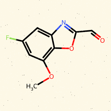 COc1cc(F)cc2nc(C=O)oc12